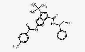 Cc1ccc(C(=O)Nc2nc3c(s2)c(C(=O)NC(CO)c2ccccc2)cn3C(C)(C)C)cc1